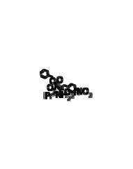 CC(C)[C@H](N)C(=O)N(C(=O)OCc1ccccc1)[C@@H](Cc1ccc([N+](=O)[O-])cc1)C(=O)O